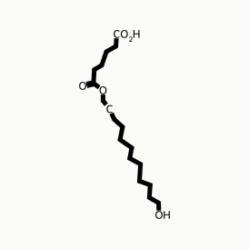 O=C(O)CCCCC(=O)OCCCCCCCCCCCCO